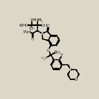 BC(B)(Oc1cccc2c1CN(C(C(=O)NC)C(B)(O)C(O)(O)C=O)C2=O)c1cccc(CN2CCOCC2)c1F